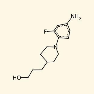 Nc1ccc(N2CCC(CCCO)CC2)c(F)c1